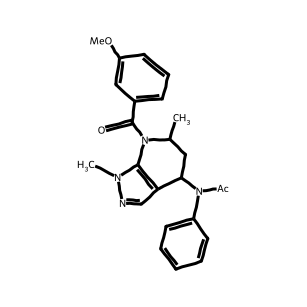 COc1cccc(C(=O)N2c3c(cnn3C)C(N(C(C)=O)c3ccccc3)CC2C)c1